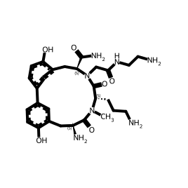 CN1C(=O)[C@@H](N)Cc2cc(ccc2O)-c2ccc(O)c(c2)C[C@@H](C(N)=O)N(CC(=O)NCCN)C(=O)[C@@H]1CCCN